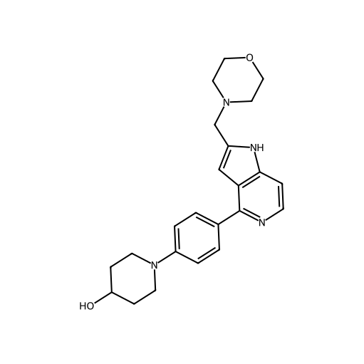 OC1CCN(c2ccc(-c3nccc4[nH]c(CN5CCOCC5)cc34)cc2)CC1